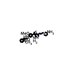 COc1cc(-c2csc3c(/C=C/CN4CCCC(N)C4)cnc(N)c23)ccc1NC(=O)c1cc2ccccc2n1C